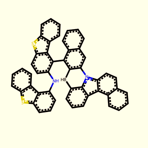 B1c2c(cc3ccccc3c2-c2c(Nc3cccc4sc5ccccc5c34)ccc3sc4ccccc4c23)-n2c3ccc4ccccc4c3c3cccc1c32